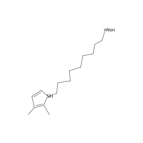 CCCCCCCCCCCCCCCCCC[SiH]1C=CC(C)=C1C